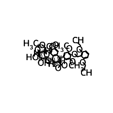 C#CCOc1cccc(OCC#C)c1COc1c(OC)cc([C@@H]2c3cc4c(cc3[C@@H](O[C@@H]3O[C@@H]5CO[C@@H](C)O[C@H]5[C@H](O)[C@H]3O)[C@H]3COC(=O)[C@H]23)OCO4)cc1OC